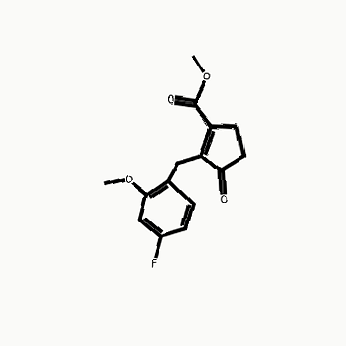 COC(=O)C1=C(Cc2ccc(F)cc2OC)C(=O)CC1